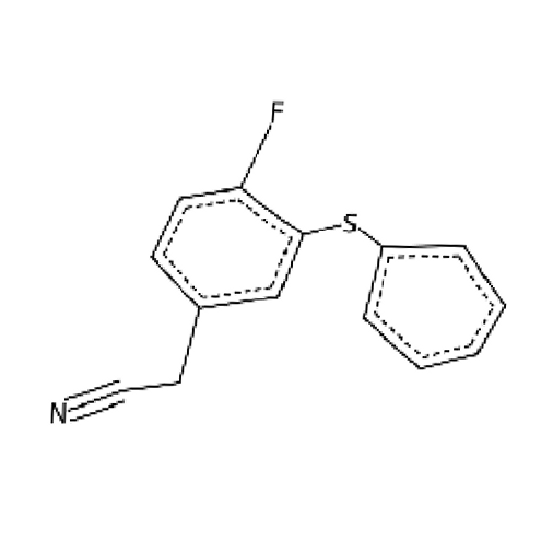 N#CCc1ccc(F)c(Sc2ccccc2)c1